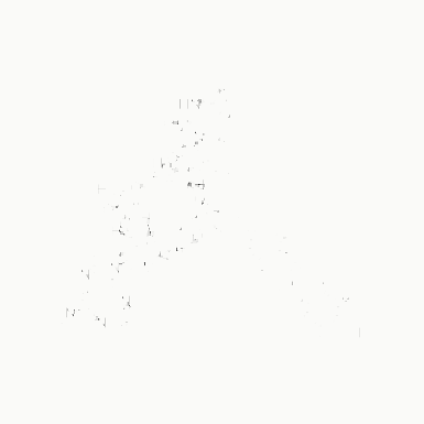 Cc1ccc(C(=O)Oc2ccc(CSP3(=O)OC[C@H]4O[C@@H](n5cnc6c(N)ncnc65)[C@H](OP(=O)(O)OC[C@H]5O[C@@H](n6ccc(=O)[nH]c6=O)[C@H](F)[C@@H]5O3)[C@@H]4F)cc2)cc1